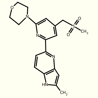 [CH2]c1cc2nc(-c3cc(CS(C)(=O)=O)cc(N4CCOCC4)n3)ccc2[nH]1